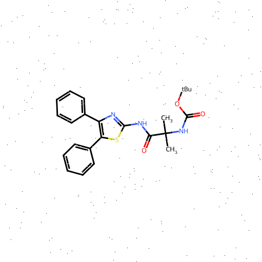 CC(C)(C)OC(=O)NC(C)(C)C(=O)Nc1nc(-c2ccccc2)c(-c2ccccc2)s1